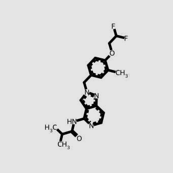 Cc1cc(Cn2cc3c(NC(=O)C(C)C)nccc3n2)ccc1OCC(F)F